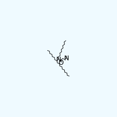 CCCCCCCCCCC(CCCCCCC)N(CCCCCCCCCC)C(=O)CCN(C)C